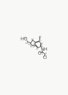 O=C(CCl)Nc1cc(F)c2c(c1)CC(CO)C2